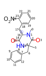 CN1C(=O)C(C)(Cc2ccccc2)NC(=O)/C1=C/c1ccccc1[N+](=O)[O-]